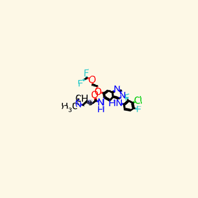 CN(C)C/C=C/C(=O)Nc1cc2c(Nc3ccc(F)c(Cl)c3F)ncnc2cc1OCCOC(F)F